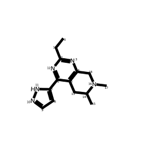 CCc1nc2c(c(-c3ccn[nH]3)n1)CC(C)N(C)C2